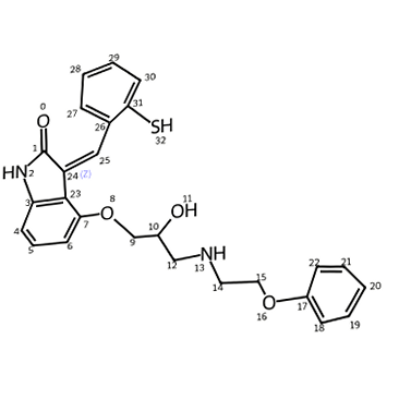 O=C1Nc2cccc(OCC(O)CNCCOc3ccccc3)c2/C1=C/c1ccccc1S